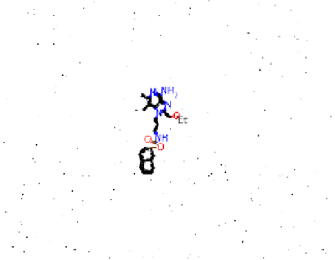 CCOCc1nc2c(N)nc(C)c(C)c2n1CCCNS(=O)(=O)c1ccc2ccccc2c1